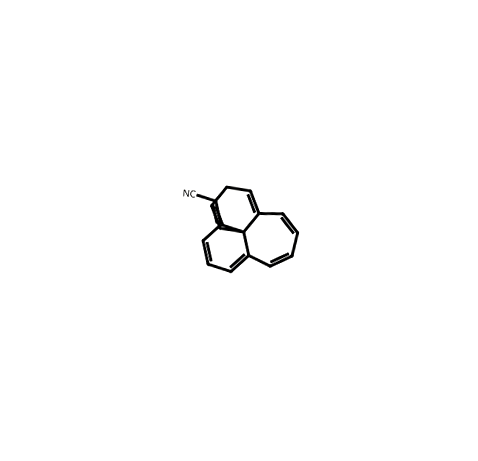 N#C/C=C1\C=CC=C2C=CC=CC3=CCC=CC231